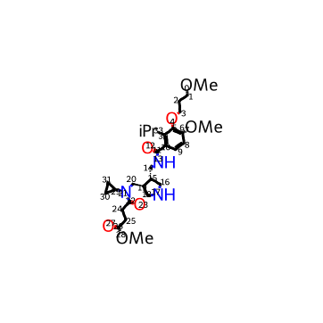 COCCCOc1c(OC)ccc(C(=O)NC[C@@H]2CNC[C@H]2CN(C(=O)CCC(=O)OC)C2CC2)c1C(C)C